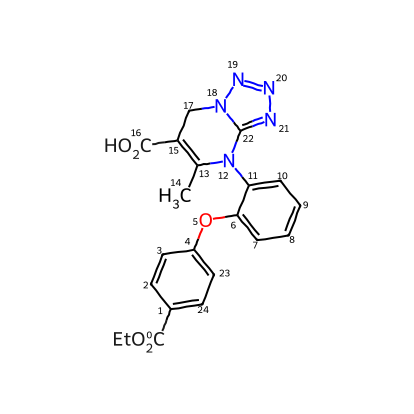 CCOC(=O)c1ccc(Oc2ccccc2N2C(C)=C(C(=O)O)Cn3nnnc32)cc1